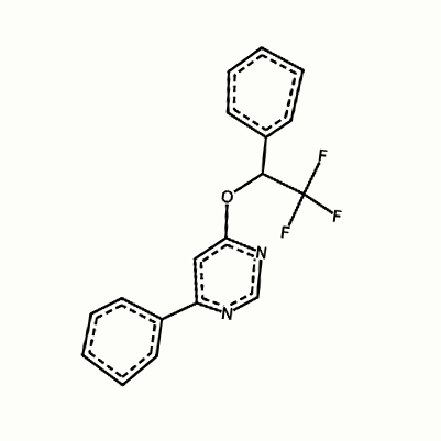 FC(F)(F)C(Oc1cc(-c2ccccc2)ncn1)c1ccccc1